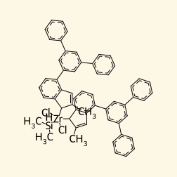 CC1=Cc2c(-c3cc(-c4ccccc4)cc(-c4ccccc4)c3)cccc2[CH]1[Zr]([Cl])([Cl])([CH]1C(C)=Cc2c(-c3cc(-c4ccccc4)cc(-c4ccccc4)c3)cccc21)[SiH](C)C